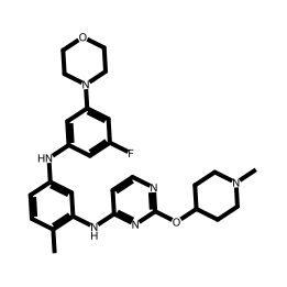 Cc1ccc(Nc2cc(F)cc(N3CCOCC3)c2)cc1Nc1ccnc(OC2CCN(C)CC2)n1